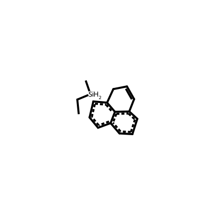 C1=Cc2cccc3cccc(c23)C1.CC[SiH2]C